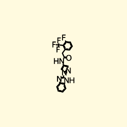 O=C(Cc1cccc(F)c1C(F)(F)F)Nc1cnn(-c2nc3ccccc3[nH]2)c1